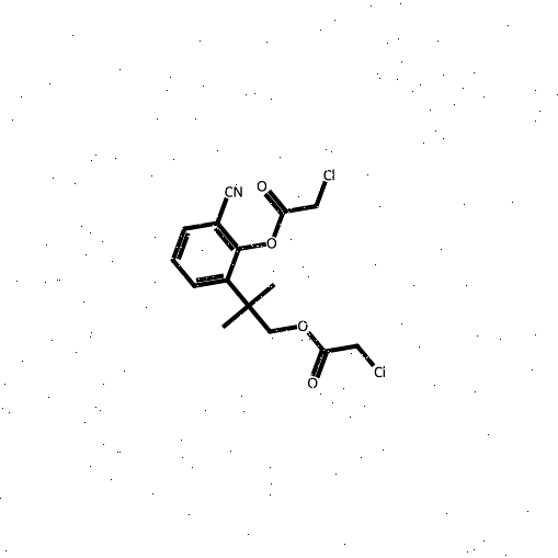 CC(C)(COC(=O)CCl)c1cccc(C#N)c1OC(=O)CCl